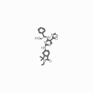 CCN1C(=O)c2ccc(Nc3ncc(-c4ncno4)c(N[C@H](CO)c4ccccc4)n3)cc2C1(C)C